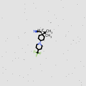 CC(C)(C)[C@]1(CC#N)CC[C@@H](N2CCC(C(F)(F)F)CC2)CC1